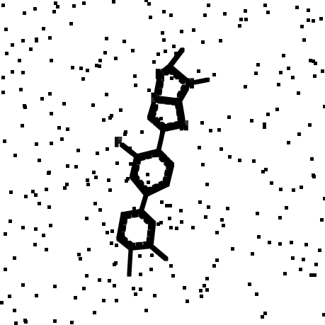 Cc1ccc(-c2ccc(-c3cn4nc(C)n(C)c4n3)c(F)c2)cc1C